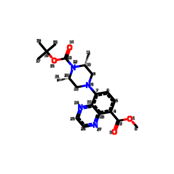 COC(=O)c1ccc(N2C[C@@H](C)N(C(=O)OC(C)(C)C)[C@@H](C)C2)c2nccnc12